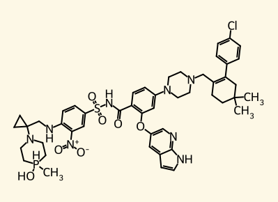 CC1(C)CCC(CN2CCN(c3ccc(C(=O)NS(=O)(=O)c4ccc(NCC5(N6CC[PH](C)(O)CC6)CC5)c([N+](=O)[O-])c4)c(Oc4cnc5[nH]ccc5c4)c3)CC2)=C(c2ccc(Cl)cc2)C1